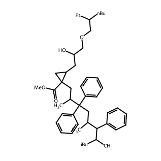 CCCCC(CC)COCC(O)CC1CC1(CC(C)C(CC(C)C(c1ccccc1)C(C)C(C)CC)(c1ccccc1)c1ccccc1)C(=O)OC